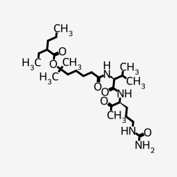 CCCC(CC)C(=O)OC(C)(C)CCCCC(=O)N[C@H](C(=O)N[C@@H](CCCNC(N)=O)C(C)=O)C(C)C